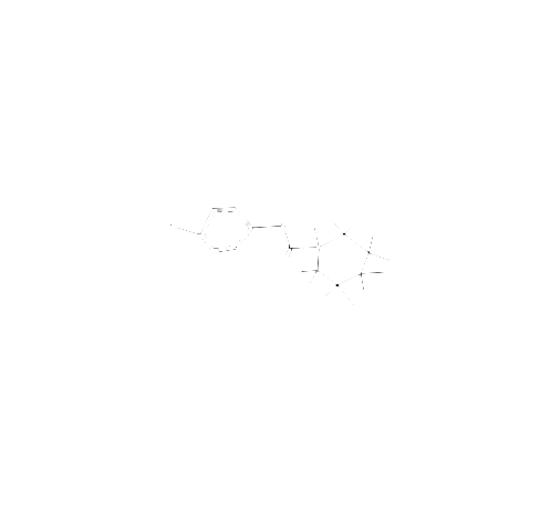 O=C(Nc1ccc([N+](=O)[O-])cn1)C1(F)C(F)(F)C(F)(F)C(F)(F)C(F)(F)C1(F)F